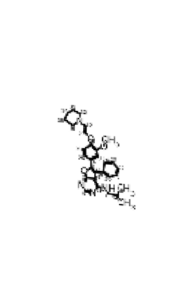 COc1cc(-c2oc3ncnc(NCC(C)C)c3c2-c2ccccc2)ccc1OCCN1CCCCC1